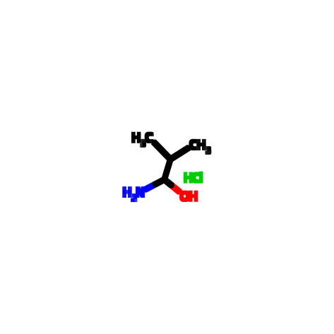 CC(C)C(N)O.Cl